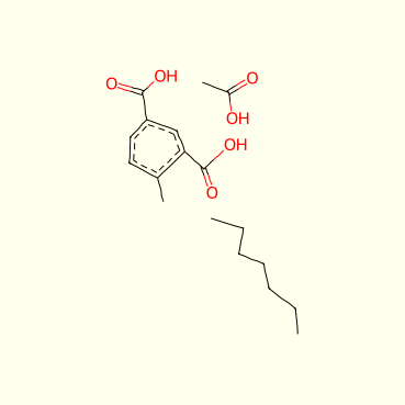 CC(=O)O.CCCCCCC.Cc1ccc(C(=O)O)cc1C(=O)O